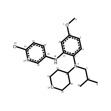 COc1ccc(N(CC(C)C)C2CCOCC2)c(Nc2ccc(Cl)nc2)c1